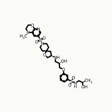 C[C@@H](O)CNS(=O)(=O)c1cccc(OC[C@@H](O)CN[C@H]2COC3(CCN(S(=O)(=O)c4cnc5c(c4)N(C)CCO5)CC3)C2)c1